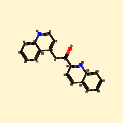 O=C(Cc1ccnc2ccccc12)c1ccc2ccccc2n1